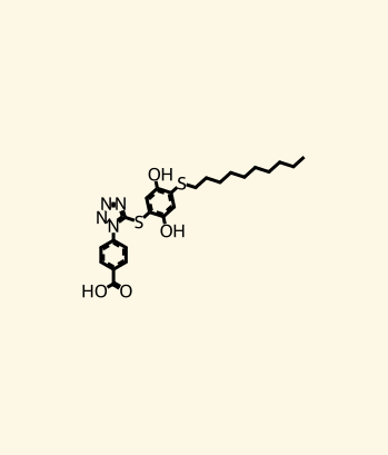 CCCCCCCCCCSc1cc(O)c(Sc2nnnn2-c2ccc(C(=O)O)cc2)cc1O